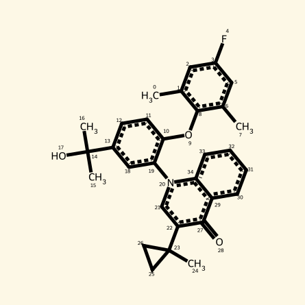 Cc1cc(F)cc(C)c1Oc1ccc(C(C)(C)O)cc1-n1cc(C2(C)CC2)c(=O)c2ccccc21